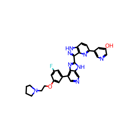 Oc1cncc(-c2ccc3[nH]nc(-c4nc5c(-c6cc(F)cc(OCCN7CCCC7)c6)cncc5[nH]4)c3n2)c1